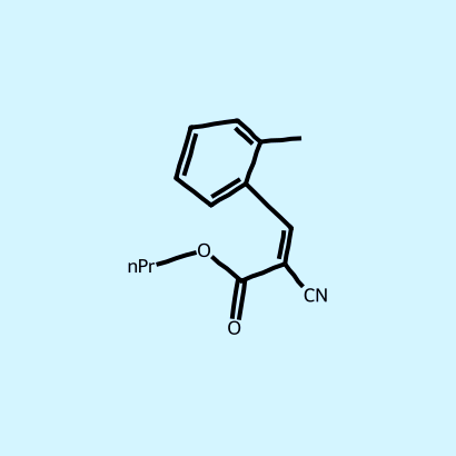 CCCOC(=O)C(C#N)=Cc1ccccc1C